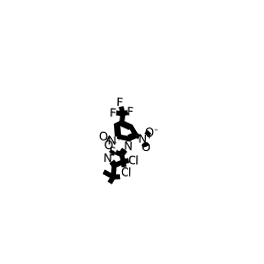 CC(C)(C)C1=NSC(=Nc2c([N+](=O)[O-])cc(C(F)(F)F)cc2[N+](=O)[O-])C1(Cl)Cl